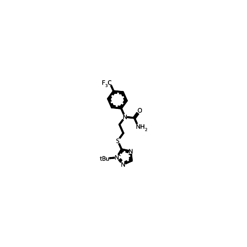 CC(C)(C)n1ncnc1SCCN(C(N)=O)c1ccc(C(F)(F)F)cc1